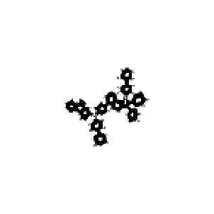 CC1(C)c2ccccc2-c2ccc(N(c3ccc(-c4ccccc4)cc3)c3ccc(-c4cccc5c4ccc4c(-c6ccccc6)c(-c6ccccc6)n(-c6ccc(-c7ccccc7)cc6)c45)cc3)cc21